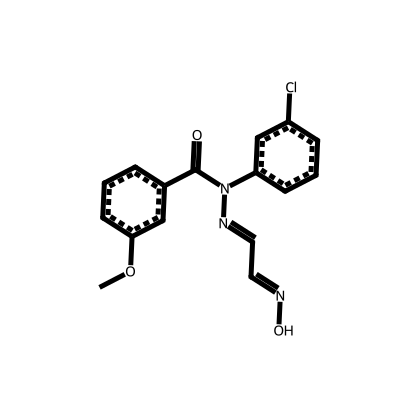 COc1cccc(C(=O)N(N=CC=NO)c2cccc(Cl)c2)c1